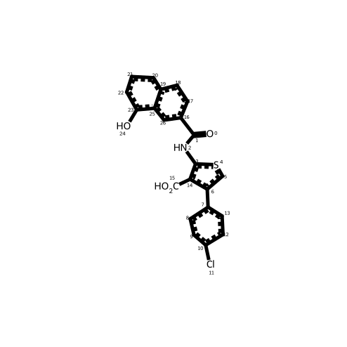 O=C(Nc1scc(-c2ccc(Cl)cc2)c1C(=O)O)c1ccc2cccc(O)c2c1